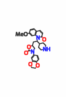 COc1ccc2ccc(=O)n(C(CC3CN(c4ccc5c(c4)OCCO5)C(=O)O3)C3CCNCC3)c2c1